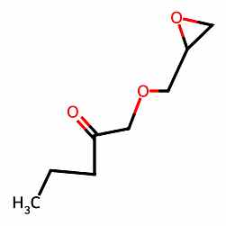 CCCC(=O)COCC1CO1